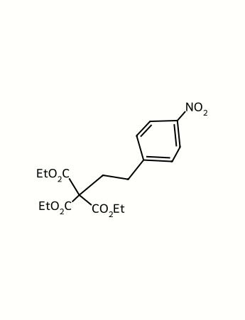 CCOC(=O)C(CCc1ccc([N+](=O)[O-])cc1)(C(=O)OCC)C(=O)OCC